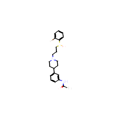 CC(C)C(=O)Nc1cccc(C2CCN(CCC[S+]([O-])c3ccccc3Br)CC2)c1